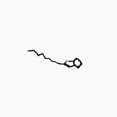 CCCCCCCCCC1=Cc2ccccc2[P]1